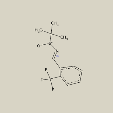 CC(C)(C)[S+]([O-])/N=C/c1ccccc1C(F)(F)F